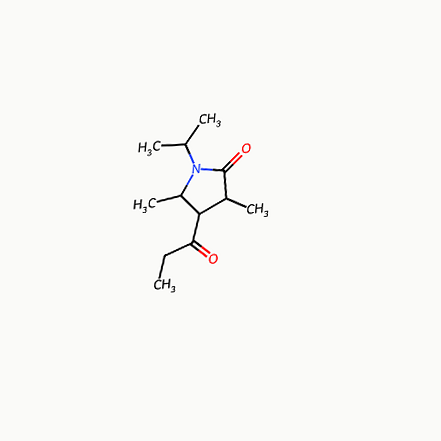 CCC(=O)C1C(C)C(=O)N(C(C)C)C1C